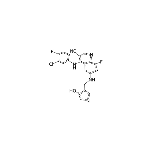 N#Cc1cnc2c(F)cc(NCc3cncn3O)cc2c1Nc1ccc(F)c(Cl)c1